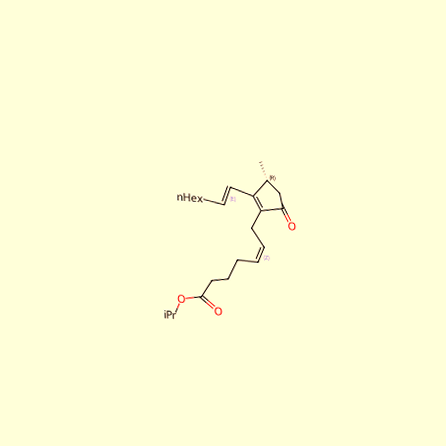 CCCCCC/C=C/C1=C(C/C=C\CCCC(=O)OC(C)C)C(=O)C[C@H]1C